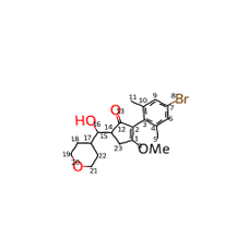 COC1=C(c2c(C)cc(Br)cc2C)C(=O)C(C(O)C2CCOCC2)C1